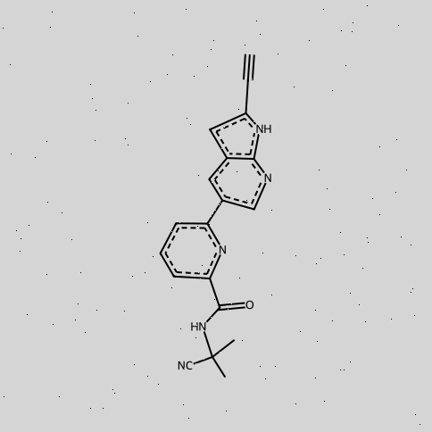 C#Cc1cc2cc(-c3cccc(C(=O)NC(C)(C)C#N)n3)cnc2[nH]1